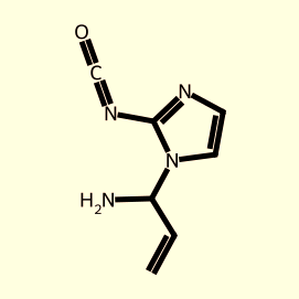 C=CC(N)n1ccnc1N=C=O